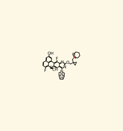 C#Cc1c(F)ccc2cc(O)cc(-c3c(Cl)cc4c(N5CC6CCC(C5)N6)nc(OCC5(CN6CC7CCC6CO7)CC5)nc4c3F)c12